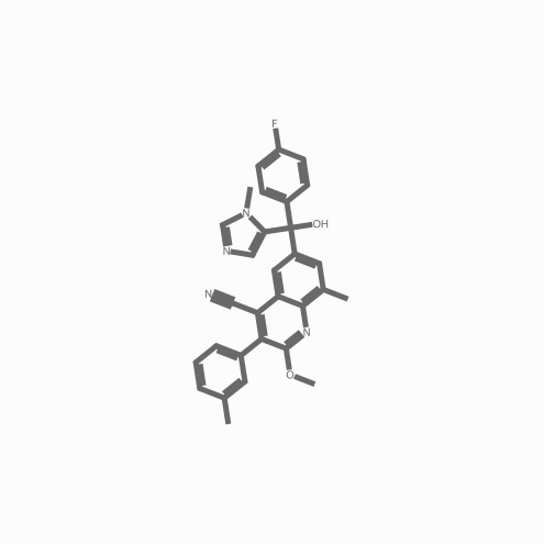 COc1nc2c(C)cc(C(O)(c3ccc(F)cc3)c3cncn3C)cc2c(C#N)c1-c1cccc(C)c1